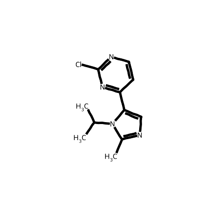 Cc1ncc(-c2ccnc(Cl)n2)n1C(C)C